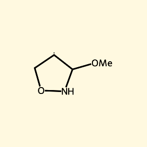 COC1[CH]CON1